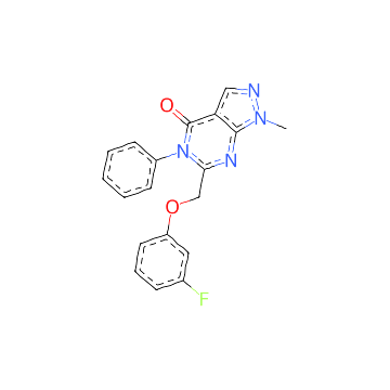 Cn1ncc2c(=O)n(-c3ccccc3)c(COc3cccc(F)c3)nc21